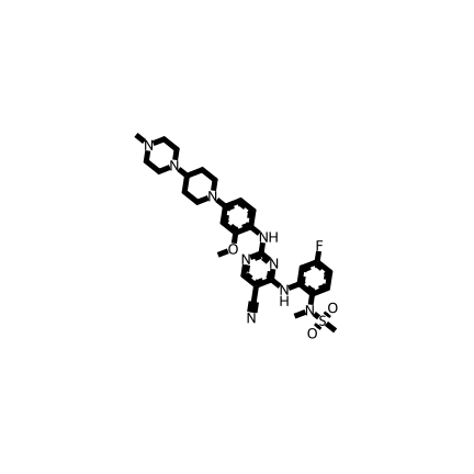 COc1cc(N2CCC(N3CCN(C)CC3)CC2)ccc1Nc1ncc(C#N)c(Nc2cc(F)ccc2N(C)S(C)(=O)=O)n1